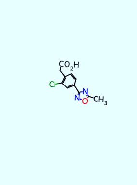 Cc1nc(-c2ccc(CC(=O)O)c(Cl)c2)no1